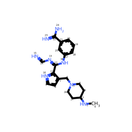 CNC1CCN(Cc2cc[nH]c2/C(=N\C=N)Nc2cccc(C(=N)N)c2)CC1